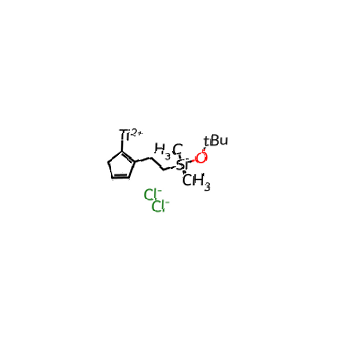 CC(C)(C)O[Si](C)(C)CCC1=[C]([Ti+2])CC=C1.[Cl-].[Cl-]